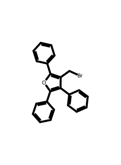 BrCc1c(-c2ccccc2)oc(-c2ccccc2)c1-c1ccccc1